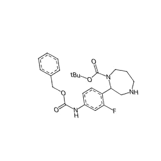 CC(C)(C)OC(=O)N1CCCNCC1c1ccc(NC(=O)OCc2ccccc2)cc1F